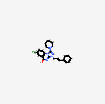 O=c1nc2n(C/C=C/c3ccccc3)nc(N3CCCCCC3)n2c2ccc(Cl)cc12